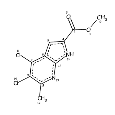 COC(=O)c1cc2c(Cl)c(Cl)c(C)nc2[nH]1